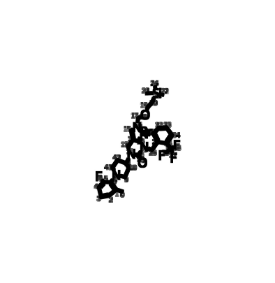 Cc1cccc(F)c1N1CCC(N2Cc3cn(COCC[Si](C)(C)C)nc3N(Cc3c(Br)cccc3C(F)(F)F)C2=O)CC1